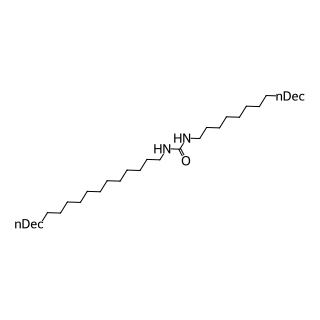 CCCCCCCCCCCCCCCCCCCCCCNC(=O)NCCCCCCCCCCCCCCCCCC